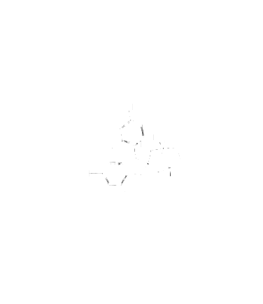 O[C@@H]1[C@@H]2OC[C@H](CC1(Cc1ccc(Cl)cc1Cl)Cc1ccc(Cl)cc1Cl)O2